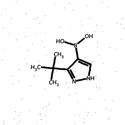 CC(C)(C)c1n[nH]cc1B(O)O